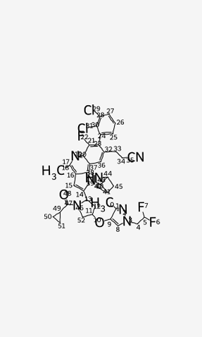 Cc1nn(CC(F)F)cc1OC1CC(c2cc3c(C)nc4c(F)c(-c5cccc(Cl)c5Cl)c(CCC#N)cc4c3n2C2C3CNC2C3)N(C(=O)C2CC2)C1